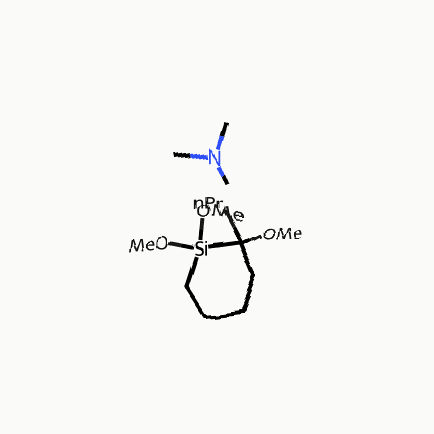 CCCC1(OC)CCCC[Si]1(OC)OC.CN(C)C